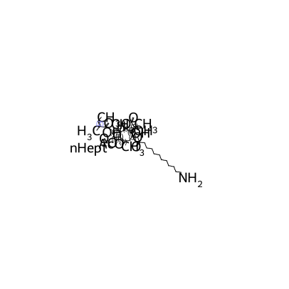 C/C=C(/C)C(=O)O[C@H]1C(C)=C2[C@H]([C@@H]1OC(=O)CCCCCCC)[C@@](C)(OC(C)=O)C[C@H](OC(=O)CCCCCCCCCCCN)[C@@]1(O)[C@H]2OC(=O)[C@@]1(C)O